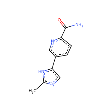 Cc1ncc(-c2ccc(C(N)=O)nc2)[nH]1